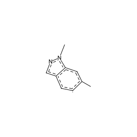 Cc1[c]cc2cnn(C)c2c1